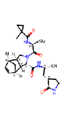 CC1(C(=O)N[C@H](C(=O)N2C[C@H]3[C@@H]([C@H]2C(=O)N[C@H](C#N)C[C@@H]2CCNC2=O)[C@H]2C=C[C@@H]3C2)C(C)(C)C)CC1